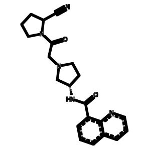 N#CC1CCCN1C(=O)CN1CC[C@H](NC(=O)c2cccc3cccnc23)C1